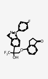 O=C1CCc2c(OCC(O)(c3ccc4c(cnn4-c4ccc(F)cc4)c3)C(F)(F)F)cccc21